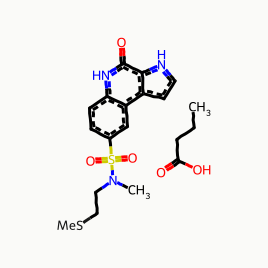 CCCC(=O)O.CSCCN(C)S(=O)(=O)c1ccc2[nH]c(=O)c3[nH]ccc3c2c1